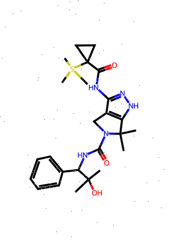 CC(C)(O)C(NC(=O)N1Cc2c(NC(=O)C3(S(C)(C)C)CC3)n[nH]c2C1(C)C)c1ccccc1